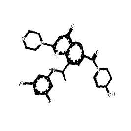 CC(Nc1cc(F)cc(F)c1)c1cc(C(=O)N2CCC(O)CC2)cc2c(=O)cc(N3CCOCC3)oc12